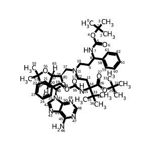 CC(C)(C)OC(=O)NC(CCN(CCC(NC(=O)OCc1ccccc1)(C(=O)OC(C)(C)C)C(C)(C)C)C[C@H]1O[C@@H](n2cnc3c(N)ncnc32)[C@@H]2OC(C)(C)O[C@@H]21)c1ccccc1